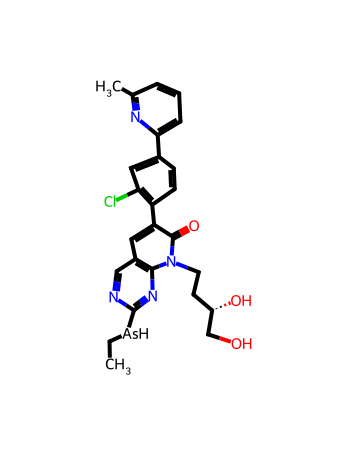 CC[AsH]c1ncc2cc(-c3ccc(-c4cccc(C)n4)cc3Cl)c(=O)n(CC[C@H](O)CO)c2n1